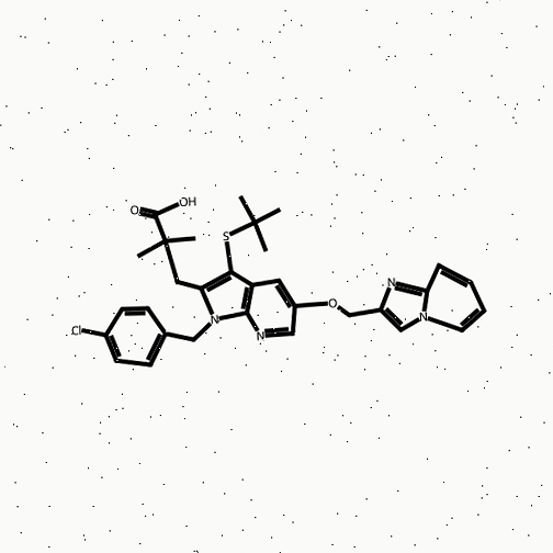 CC(C)(C)Sc1c(CC(C)(C)C(=O)O)n(Cc2ccc(Cl)cc2)c2ncc(OCc3cn4ccccc4n3)cc12